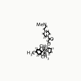 CNCCN1CCN(C(=O)COC[C@@H]2CCCN2S(=O)(=O)c2c(C)cc(C)cc2C)CC1